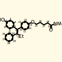 CCC(=C(c1ccc(O)cc1)c1ccc(OCCCCC(=O)NC)cc1)c1ccccc1